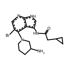 NC1CCCN(c2c(Br)cnc3[nH]cc(NC(=O)CC4CC4)c23)C1